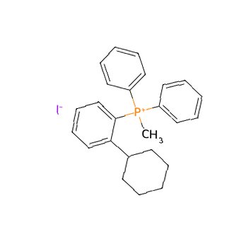 C[P+](c1ccccc1)(c1ccccc1)c1ccccc1C1CCCCC1.[I-]